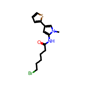 Cn1cc(-c2cccs2)cc1NC(=O)CCCCCBr